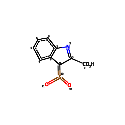 O=C(O)C1=Nc2ccccc2C1=S(=O)=O